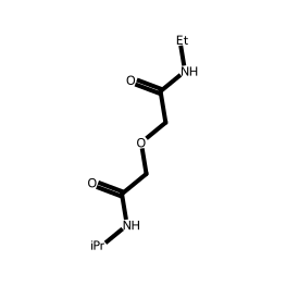 CCNC(=O)COCC(=O)NC(C)C